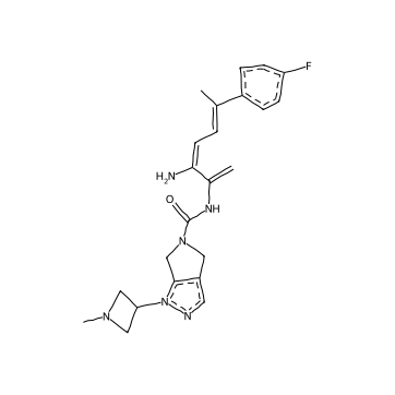 C=C(NC(=O)N1Cc2cnn(C3CN(C)C3)c2C1)/C(N)=C\C=C(/C)c1ccc(F)cc1